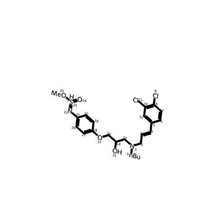 CCCCN(C/C=C/c1ccc(Cl)c(Cl)c1)CC(O)COc1ccc(N=[SH](=O)OC)cc1